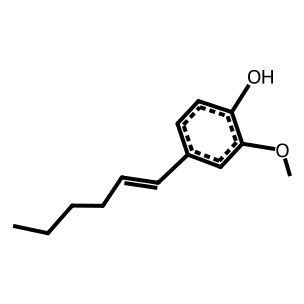 CCCCC=Cc1ccc(O)c(OC)c1